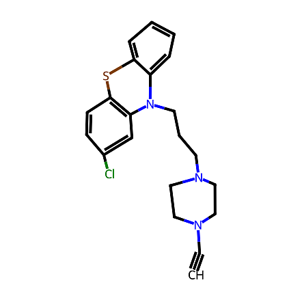 C#CN1CCN(CCCN2c3ccccc3Sc3ccc(Cl)cc32)CC1